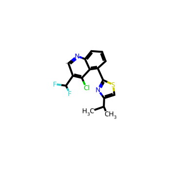 CC(C)c1csc(-c2cccc3n[c]c(C(F)F)c(Cl)c23)n1